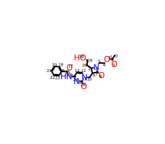 CC(=O)OCCN1C(=O)C(Cn2ccc(NC(=O)c3ccccc3)nc2=O)C1CCO